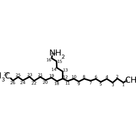 CCCCCCCCCCCCC(CCCCN)CCCCCCCCCC